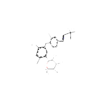 CC[C@H]1O[C@@H](c2cc(Cc3ccc(/C=C/C(C)(C)C(=O)O)cc3C)c(C(C)C)cc2C)[C@@H](OC(C)=O)[C@@H](OC(C)=O)[C@H]1C